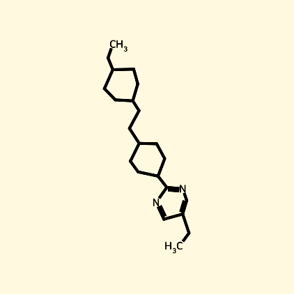 CCc1cnc(C2CCC(CCC3CCC(CC)CC3)CC2)nc1